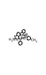 Cc1ccc(S(=O)(=O)Nc2ccccc2-c2ccc3nc(N)nc(N(Br)c4ccccc4)c3c2)cc1